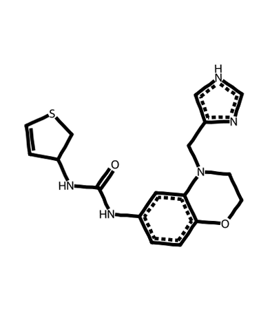 O=C(Nc1ccc2c(c1)N(Cc1c[nH]cn1)CCO2)NC1C=CSC1